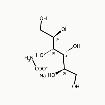 NC(=O)[O-].OC[C@@H](O)[C@@H](O)[C@H](O)[C@H](O)CO.[Na+]